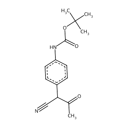 CC(=O)C(C#N)c1ccc(NC(=O)OC(C)(C)C)cc1